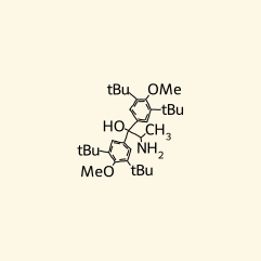 COc1c(C(C)(C)C)cc(C(O)(c2cc(C(C)(C)C)c(OC)c(C(C)(C)C)c2)C(C)N)cc1C(C)(C)C